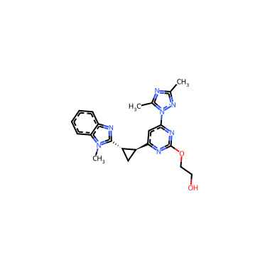 Cc1nc(C)n(-c2cc([C@H]3C[C@@H]3c3nc4ccccc4n3C)nc(OCCO)n2)n1